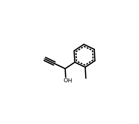 C#CC(O)c1ccccc1C